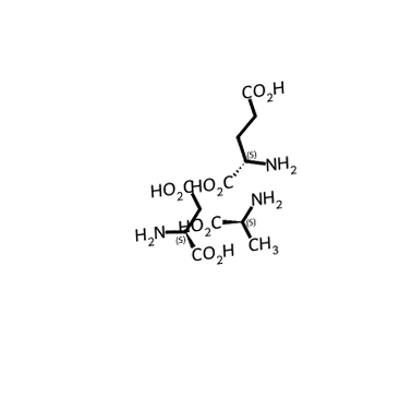 C[C@H](N)C(=O)O.N[C@@H](CC(=O)O)C(=O)O.N[C@@H](CCC(=O)O)C(=O)O